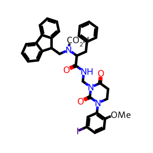 COc1ccc(I)cc1N1CCC(=O)N(CNC(=O)C(Cc2ccccc2)N(CC2c3ccccc3-c3ccccc32)C(=O)O)C1=O